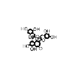 O=c1cc(C2Oc3cc(O)cc(O)c3C[C@H]2O)cc2c([C@H]3Oc4cc(O)cc(O)c4C[C@H]3O)cc(O)c(O)c2c1